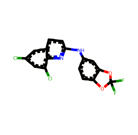 FC1(F)Oc2ccc(Nc3ccc4cc(Cl)cc(Cl)c4n3)cc2O1